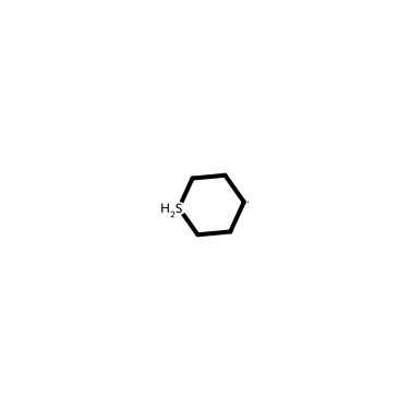 [CH]1CC[SH2]CC1